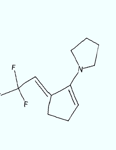 FC(F)(F)/C=C1\CCC=C1N1CCCC1